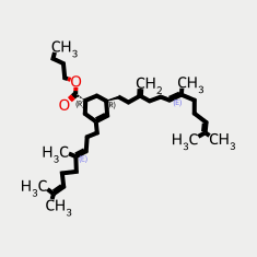 C=C(CC/C=C(\C)CCC=C(C)C)CC[C@H]1C=C(CC/C=C(\C)CCC=C(C)C)C[C@H](C(=O)OCCCC)C1